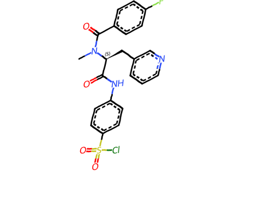 CN(C(=O)c1ccc(F)cc1)[C@@H](Cc1cccnc1)C(=O)Nc1ccc(S(=O)(=O)Cl)cc1